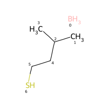 B.CC(C)CCS